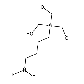 OC[Si](CO)(CO)CCCCN(F)F